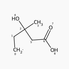 [CH2]CC(C)(O)CC(=O)O